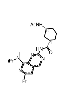 CCc1cc2cnc(NC(=O)[C@H]3CCC[C@@H](NC(C)=O)C3)nc2c(NC(C)C)n1